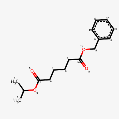 CC(C)OC(=O)CCCCC(=O)OCc1ccccc1